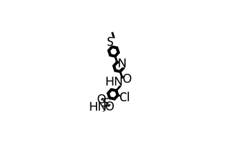 CCSc1ccc(-c2ccc(C(=O)NCc3ccc(S(=O)(=O)NC)cc3Cl)cn2)cc1